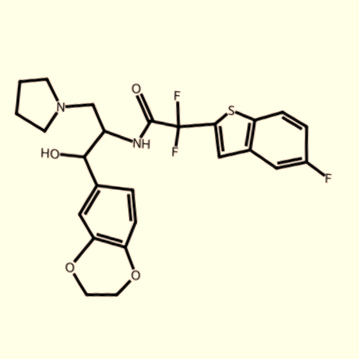 O=C(NC(CN1CCCC1)C(O)c1ccc2c(c1)OCCO2)C(F)(F)c1cc2cc(F)ccc2s1